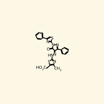 Cc1nc(N/N=C2\C(=O)N(c3nc(-c4ccccc4)cs3)N=C2c2ccccc2)sc1CC(=O)O